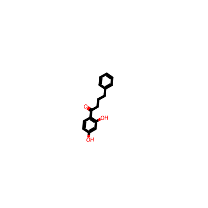 O=C(CCCc1ccccc1)c1ccc(O)cc1O